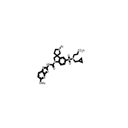 COc1ccc2nc(NC(=O)N3CC4(CCN(C(C)=O)C4)c4cc(S(=O)(=O)N(CCC(=O)O)CC5CC5)ccc43)sc2n1